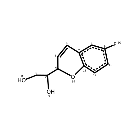 OCC(O)C1C=Cc2cc(F)ccc2O1